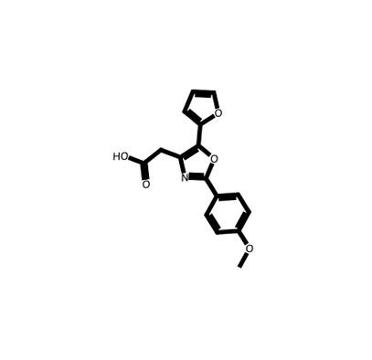 COc1ccc(-c2nc(CC(=O)O)c(-c3ccco3)o2)cc1